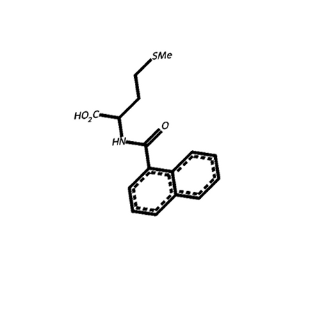 CSCCC(NC(=O)c1cccc2ccccc12)C(=O)O